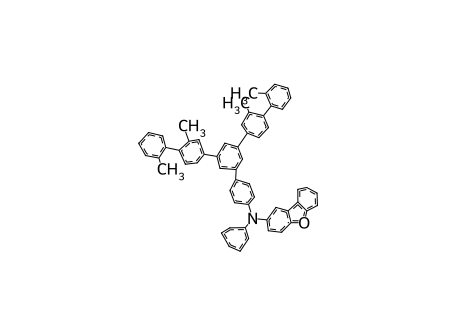 Cc1ccccc1-c1ccc(-c2cc(-c3ccc(N(c4ccccc4)c4ccc5oc6ccccc6c5c4)cc3)cc(-c3ccc(-c4ccccc4C)c(C)c3)c2)cc1C